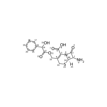 NC1C(=O)N2C(C(=O)O)=C(COC(=O)C(O)c3ccccc3)CS[C@H]12